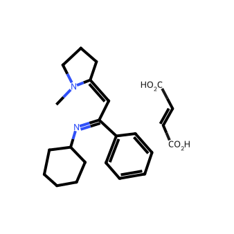 CN1CCCC1=CC(=NC1CCCCC1)c1ccccc1.O=C(O)/C=C/C(=O)O